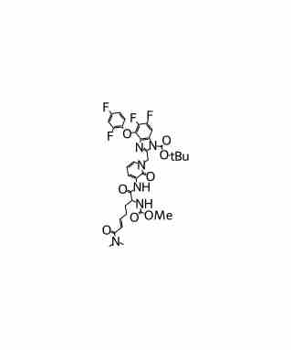 COC(=O)NC(CC/C=C/C(=O)N(C)C)C(=O)Nc1cccn(Cc2nc3c(Oc4ccc(F)cc4F)c(F)c(F)cc3n2C(=O)OC(C)(C)C)c1=O